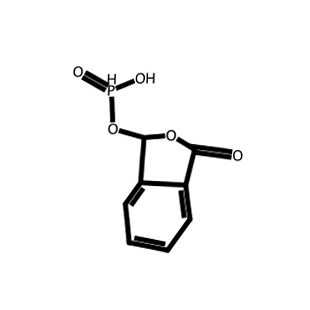 O=C1OC(O[PH](=O)O)c2ccccc21